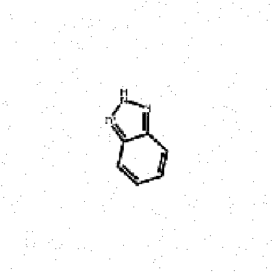 c1ccc2[o+][nH]nc2c1